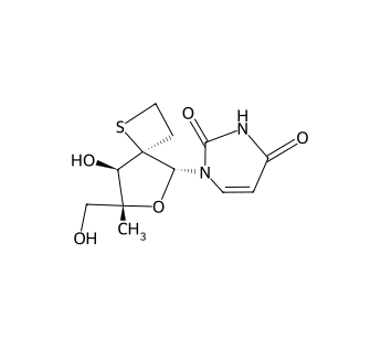 C[C@]1(CO)O[C@@H](n2ccc(=O)[nH]c2=O)[C@@]2(CCS2)[C@@H]1O